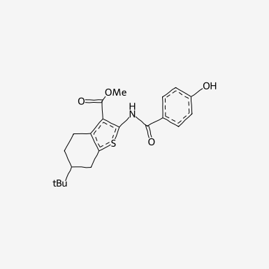 COC(=O)c1c(NC(=O)c2ccc(O)cc2)sc2c1CCC(C(C)(C)C)C2